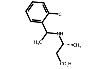 CC(N[C@H](C)CC(=O)O)c1ccccc1Cl